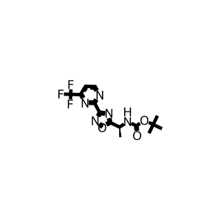 C[C@H](NC(=O)OC(C)(C)C)c1nc(-c2nccc(C(F)(F)F)n2)no1